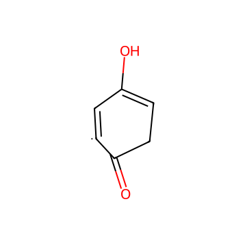 O=C1[C]=CC(O)=CC1